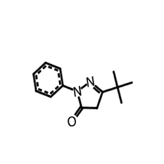 CC(C)(C)C1=NN(c2ccccc2)C(=O)C1